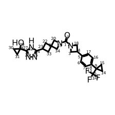 O=C(N1CC(c2ccc(C3(C(F)(F)F)CC3)cc2)C1)N1CC2(CC(c3nnc(C4(O)CC4)[nH]3)C2)C1